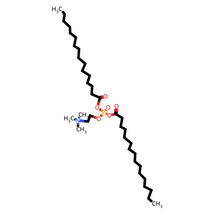 CCCCCCCCCCCCCCCC(=O)OP(=O)(OCC[N+](C)(C)C)OC(=O)CCCCCCCCCCCCCCC